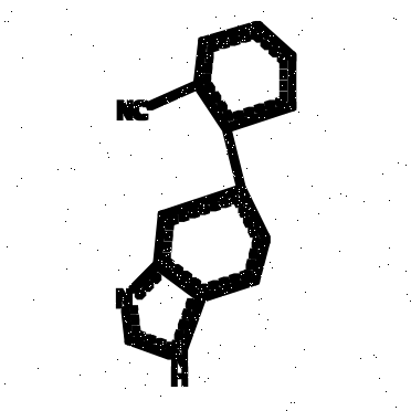 N#Cc1ccccc1-c1ccc2[nH]cnc2c1